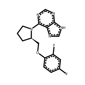 Fc1ccc(OC[C@H]2CCCN2c2ncnc3[nH]cnc23)c(F)c1